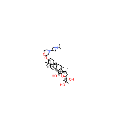 CC(C)N1CC(N2CCO[C@@H](O[C@H]3CC[C@]45CC46CC[C@]4(C)[C@@H]7C(OC([C@H](O)C(C)(C)O)C[C@H]7C)[C@H](O)[C@@]4(C)[C@H]6CC[C@H]5C3(C)C)C2)C1